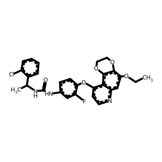 CCOc1cc2nccc(Oc3ccc(NC(=O)NC(C)c4ccccc4Cl)cc3F)c2c2c1OCCO2